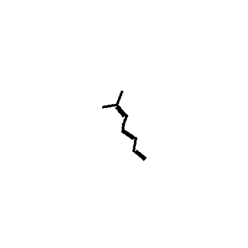 C=CC=CC=C(C)C